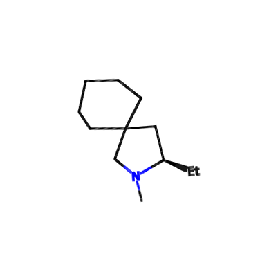 CC[C@@H]1CC2(CCCCC2)CN1C